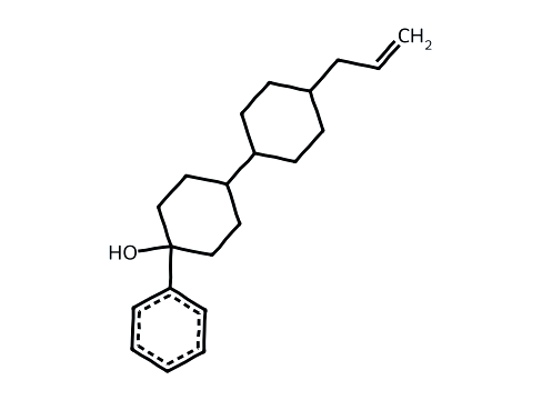 C=CCC1CCC(C2CCC(O)(c3ccccc3)CC2)CC1